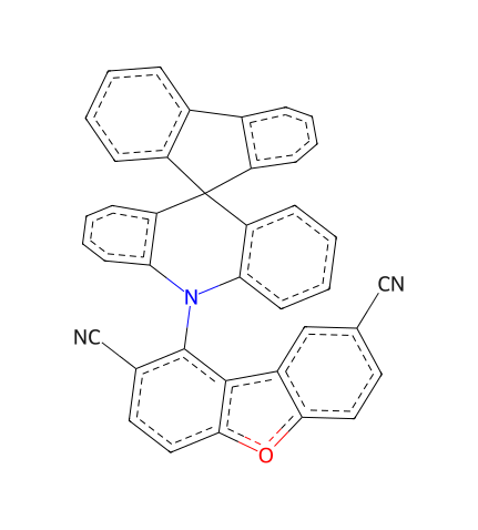 N#Cc1ccc2oc3ccc(C#N)c(N4c5ccccc5C5(c6ccccc6-c6ccccc65)c5ccccc54)c3c2c1